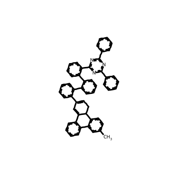 Cc1ccc2c(c1)-c1ccccc1C1=CC(c3ccccc3-c3ccccc3-c3ccccc3-c3nc(-c4ccccc4)nc(-c4ccccc4)n3)=CCC12